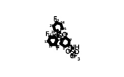 O=S(=O)(N[C@H]1CC[C@@](c2cc(F)ccc2F)(S(=O)(=O)N2CCC(F)CC2)CC1)C(F)(F)F